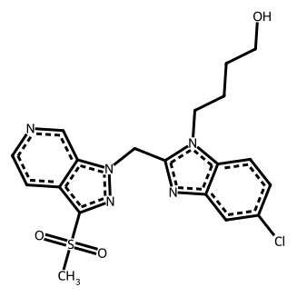 CS(=O)(=O)c1nn(Cc2nc3cc(Cl)ccc3n2CCCCO)c2cnccc12